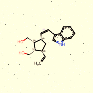 C=C[C@@H]1C[C@H](/C=C\c2c[nH]c3ccccc23)[C@@H](CO)[C@H]1CO